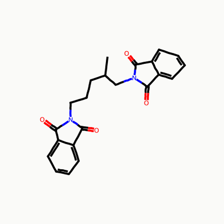 CC(CCCN1C(=O)c2ccccc2C1=O)CN1C(=O)c2ccccc2C1=O